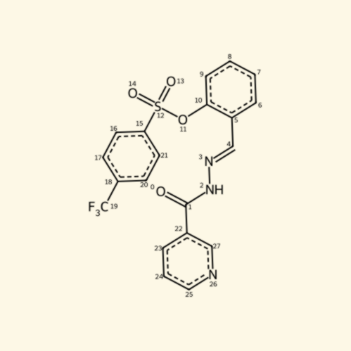 O=C(NN=Cc1ccccc1OS(=O)(=O)c1ccc(C(F)(F)F)cc1)c1cccnc1